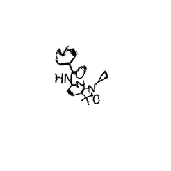 CC1(C)C(=O)N(C2CC2)c2nc(NC(=O)c3ccncc3)ccc21